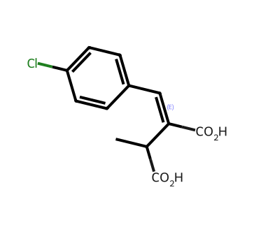 CC(C(=O)O)/C(=C\c1ccc(Cl)cc1)C(=O)O